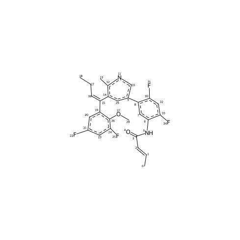 C/C=C/C(=O)Nc1cc(-c2cnc(C)c(/C(=C\CC)c3cc(F)cc(F)c3OC)c2)c(F)cc1F